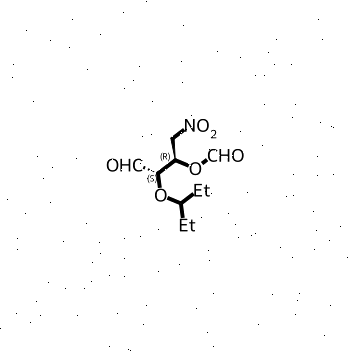 CCC(CC)O[C@H](C=O)[C@@H](C[N+](=O)[O-])OC=O